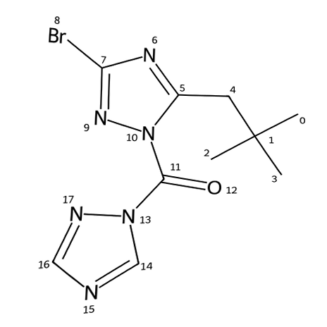 CC(C)(C)Cc1nc(Br)nn1C(=O)n1cncn1